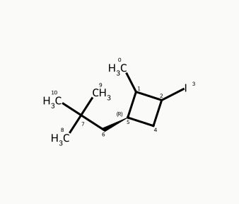 CC1C(I)C[C@H]1CC(C)(C)C